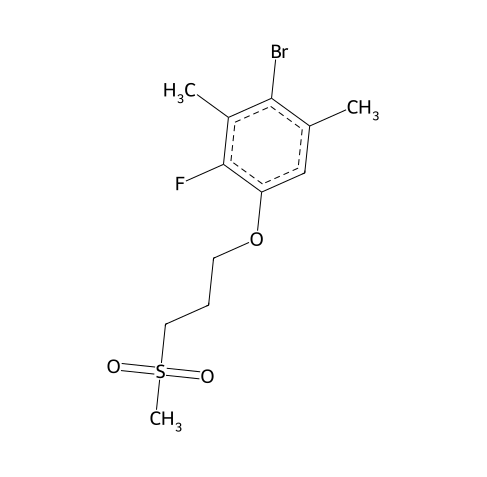 Cc1cc(OCCCS(C)(=O)=O)c(F)c(C)c1Br